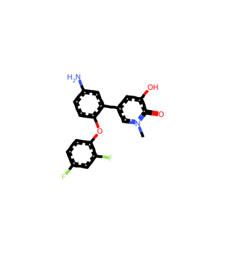 Cn1cc(-c2cc(N)ccc2Oc2ccc(F)cc2F)cc(O)c1=O